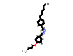 CCCCCCc1ccc(-c2nnc(-c3ccc(OCCCC)c(F)c3)s2)cc1